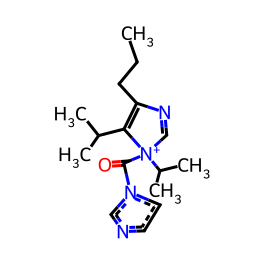 CCCC1=C(C(C)C)[N+](C(=O)n2ccnc2)(C(C)C)C=N1